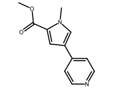 COC(=O)c1cc(-c2ccncc2)cn1C